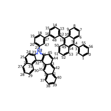 c1ccc(-c2c3ccccc3c(-c3cccc(-c4cccc(-n5c6ccc7ccccc7c6c6c7cc8ccccc8cc7ccc65)c4)c3)c3ccccc23)cc1